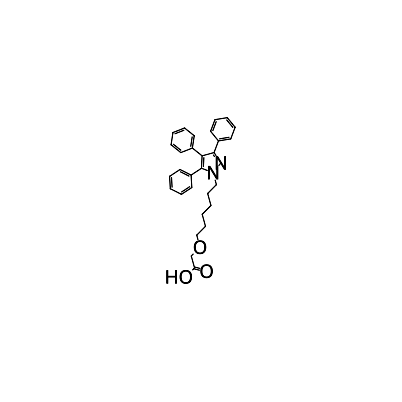 O=C(O)COCCCCCCn1nc(-c2ccccc2)c(-c2ccccc2)c1-c1ccccc1